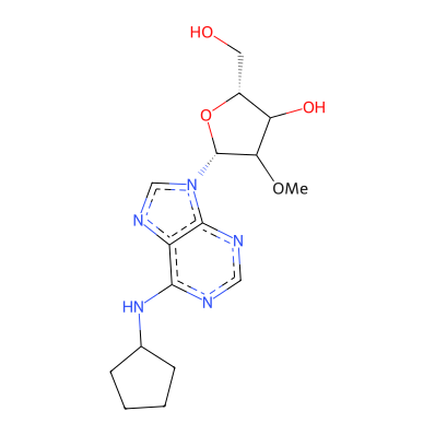 COC1C(O)[C@@H](CO)O[C@H]1n1cnc2c(NC3CCCC3)ncnc21